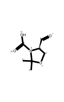 CC1(C)OC[C@H](C=O)N1C(=O)O